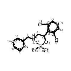 CC[Si](CC)(CC)OC(CNCc1cnccn1)c1c(Cl)cncc1Cl